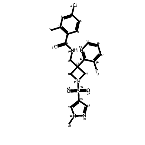 Cc1cc(Cl)ccc1C(=O)NCC1(c2ncccc2F)CN(S(=O)(=O)c2cnn(C)c2)C1